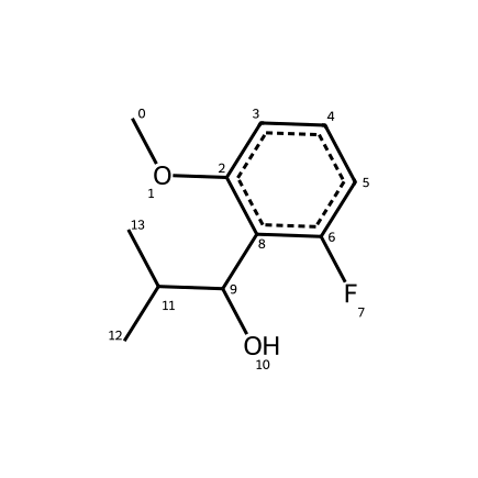 COc1cccc(F)c1C(O)C(C)C